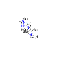 Cc1cc(C[C@@]2(C(=O)O)C(C(C)(C)C)CN(C(=O)O)[C@H](C)C2C(C)(C)C)nc(Nc2cc(C)n(C(C)(C)C)n2)c1F